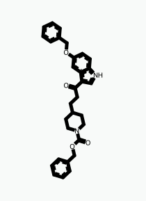 O=C(CCC1CCN(C(=O)OCc2ccccc2)CC1)c1c[nH]c2ccc(OCc3ccccc3)cc12